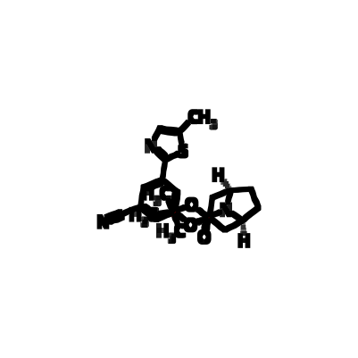 Cc1cnc(-c2cc(C#N)cc(O[C@H]3C[C@H]4CC[C@@H](C3)N4C(=O)OC(C)(C)C)c2)s1